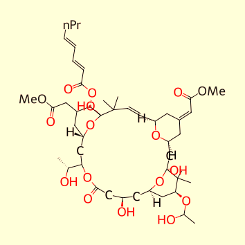 CCC/C=C/C=C/C(=O)O[C@H]1C(CC(=O)OC)C[C@H]2CC([C@@H](C)O)OC(=O)C[C@H](O)C[C@@H]3C[C@H](OC(C)O)C(C)(C)[C@](O)(C[C@@H]4C/C(=C/C(=O)OC)C[C@H](/C=C/C(C)(C)C1(O)O2)O4)O3